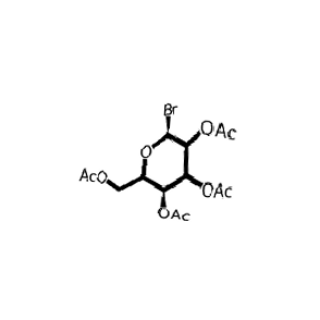 CC(=O)OCC1O[C@@H](Br)C(OC(C)=O)C(OC(C)=O)[C@H]1OC(C)=O